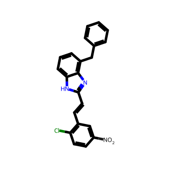 O=[N+]([O-])c1ccc(Cl)c(C=Cc2nc3c(Cc4ccccc4)cccc3[nH]2)c1